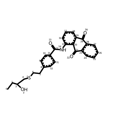 CCC(O)CSCCc1ccc(C(=O)Nc2cccc3c2C(=O)c2ccccc2C3=O)cc1